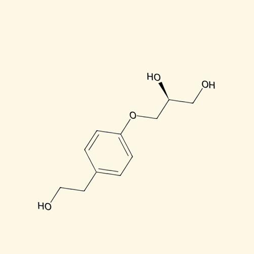 OCCc1ccc(OC[C@@H](O)CO)cc1